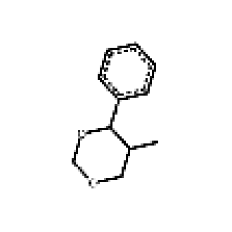 CC1COCOC1c1ccccc1